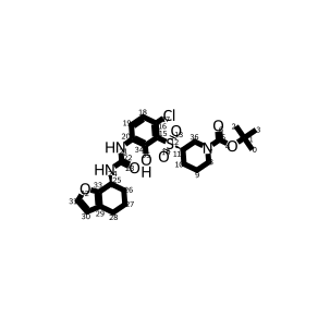 CC(C)(C)OC(=O)N1CCC[C@H](S(=O)(=O)c2c(Cl)ccc(NC(=O)N[C@H]3CCCc4ccoc43)c2O)C1